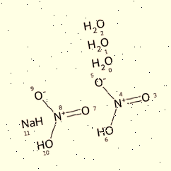 O.O.O.O=[N+]([O-])O.O=[N+]([O-])O.[NaH]